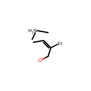 CC=C(CC)C[O].C[SiH2]C